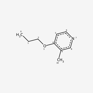 CCCOc1ccncc1C